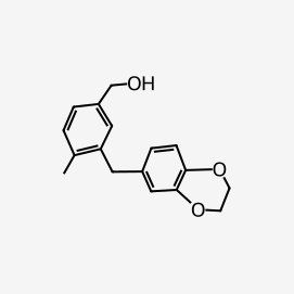 Cc1ccc(CO)cc1Cc1ccc2c(c1)OCCO2